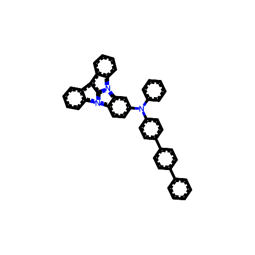 c1ccc(-c2ccc(-c3ccc(N(c4ccccc4)c4ccc5c(c4)n4c6ccccc6c6c7ccccc7n5c64)cc3)cc2)cc1